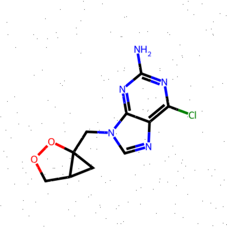 Nc1nc(Cl)c2ncn(CC34CC3COO4)c2n1